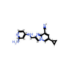 N#Cc1cc(C2CC2)cn2cc(CNc3ccnc(N)c3)nc12